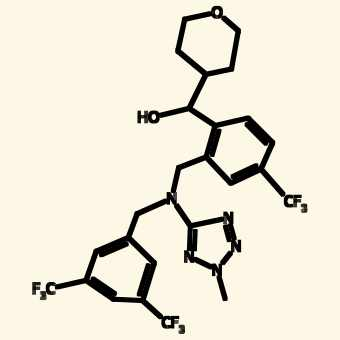 Cn1nnc(N(Cc2cc(C(F)(F)F)cc(C(F)(F)F)c2)Cc2cc(C(F)(F)F)ccc2C(O)C2CCOCC2)n1